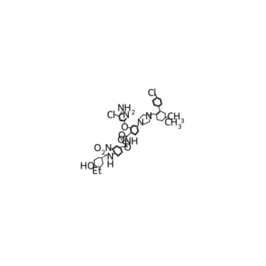 CC[C@]1(O)CC[C@@H](CNc2ccc(S(=O)(=O)NC(=O)c3ccc(N4CCN(CC5=C(c6ccc(Cl)cc6)CC(C)(C)CC5)CC4)cc3Oc3cnc(N)c(Cl)c3)cc2[N+](=O)[O-])CC1